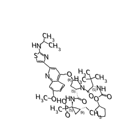 CC[C@@H]1C[C@]1(NC(=O)[C@@H]1C[C@@H](Oc2cc(-c3csc(NC(C)C)n3)nc3cc(OC)ccc23)CN1C(=O)[C@@H](NC(=O)OC1CCCC1)C(C)(C)C)P(C)(=O)O